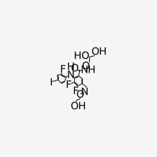 O=C(NOCC(O)CO)c1cc(/C=N\OCCO)c(F)c(F)c1Nc1ccc(I)cc1F